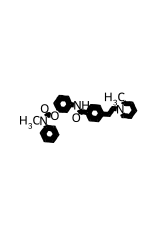 CC1CCCCN1CCc1ccc(C(=O)Nc2cccc(OC(=O)N(C)c3ccccc3)c2)cc1